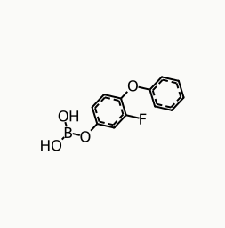 OB(O)Oc1ccc(Oc2ccccc2)c(F)c1